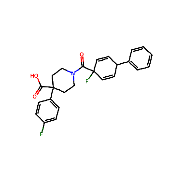 O=C(N1CCC(C(=O)O)(c2ccc(F)cc2)CC1)C1(F)C=CC(c2ccccc2)C=C1